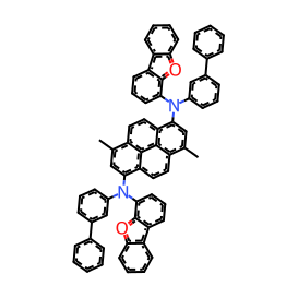 Cc1cc(N(c2cccc(-c3ccccc3)c2)c2cccc3c2oc2ccccc23)c2ccc3c(C)cc(N(c4cccc(-c5ccccc5)c4)c4cccc5c4oc4ccccc45)c4ccc1c2c34